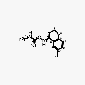 CCCNC(=O)ONC1CCOc2ccc(I)cc21